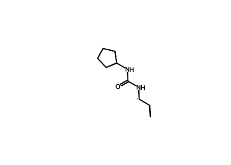 CC[CH]NC(=O)NC1CCCC1